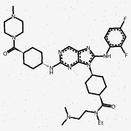 CCN(CCN(C)C)C(=O)[C@H]1CC[C@@H](n2c(Nc3ccc(F)cc3F)nc3cnc(N[C@H]4CC[C@H](C(=O)N5CCN(C)CC5)CC4)nc32)CC1